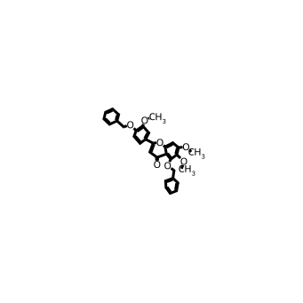 COc1cc(-c2cc(=O)c3c(OCc4ccccc4)c(OC)c(OC)cc3o2)ccc1OCc1ccccc1